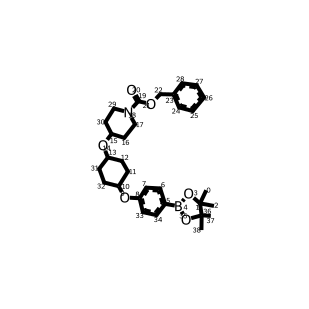 CC1(C)OB(c2ccc(OC3CCC(OC4CCN(C(=O)OCc5ccccc5)CC4)CC3)cc2)OC1(C)C